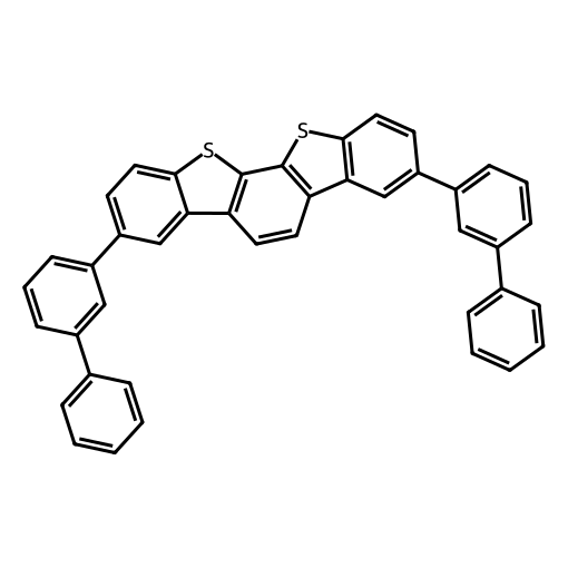 c1ccc(-c2cccc(-c3ccc4sc5c(ccc6c7cc(-c8cccc(-c9ccccc9)c8)ccc7sc65)c4c3)c2)cc1